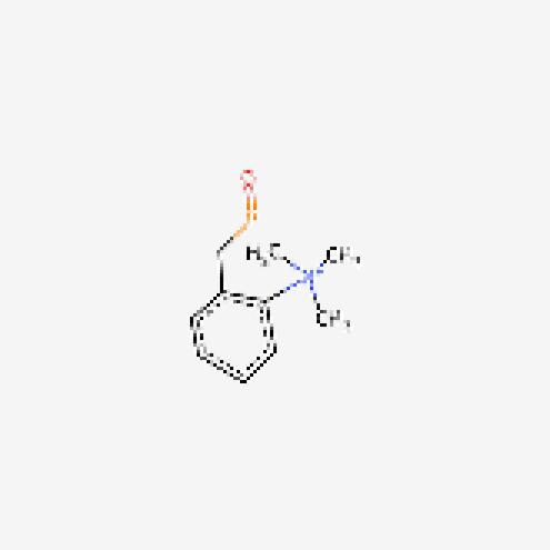 C[N+](C)(C)c1ccccc1CP=O